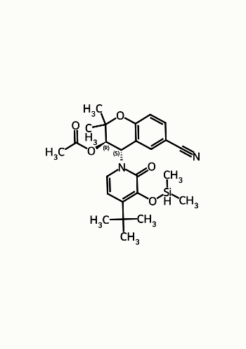 CC(=O)O[C@@H]1[C@@H](n2ccc(C(C)(C)C)c(O[SiH](C)C)c2=O)c2cc(C#N)ccc2OC1(C)C